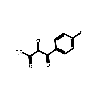 O=C(c1ccc(Cl)cc1)C(Cl)C(=O)C(F)(F)F